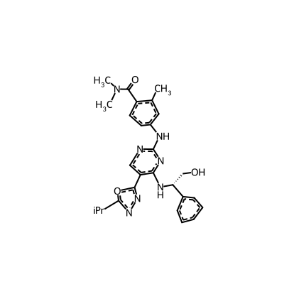 Cc1cc(Nc2ncc(-c3nnc(C(C)C)o3)c(N[C@H](CO)c3ccccc3)n2)ccc1C(=O)N(C)C